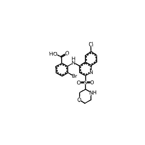 O=C(O)c1cccc(Br)c1Nc1cc(S(=O)(=O)C2COCCN2)nc2ccc(Cl)cc12